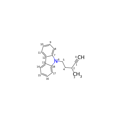 C#CC(C)CCn1c2ccccc2c2ccccc21